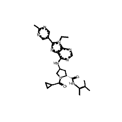 CCn1c(-c2cnc(C)nc2)nc2c(NC3C[C@H](C(=O)NC(C)C(C)C)N(C(=O)C4CC4)C3)ncnc21